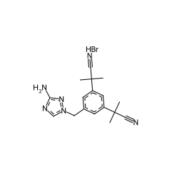 Br.CC(C)(C#N)c1cc(Cn2cnc(N)n2)cc(C(C)(C)C#N)c1